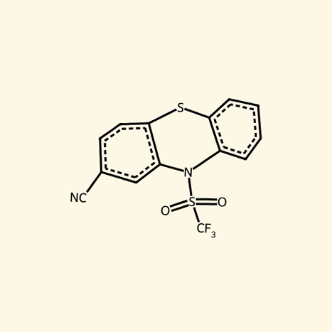 N#Cc1ccc2c(c1)N(S(=O)(=O)C(F)(F)F)c1ccccc1S2